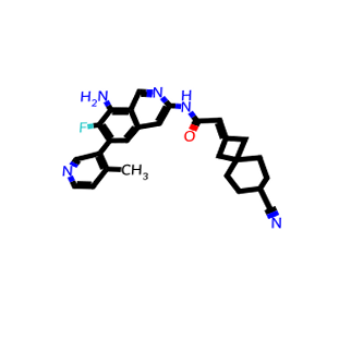 Cc1ccncc1-c1cc2cc(NC(=O)C=C3CC4(CCC(C#N)CC4)C3)ncc2c(N)c1F